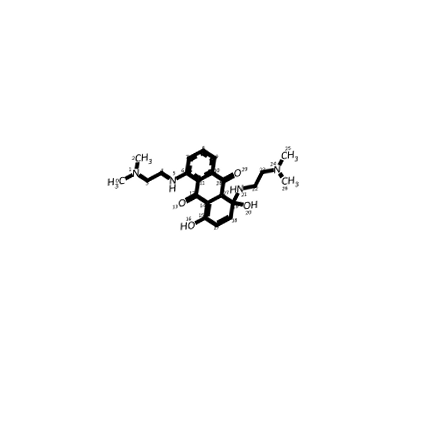 CN(C)CCNc1cccc2c1C(=O)C1=C(O)C=CC(O)(NCCN(C)C)C1C2=O